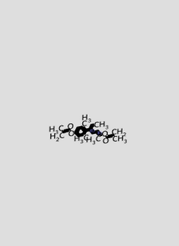 C=C(C)C(=O)OC1=CC(C)=C(/C(=C/C=C(\C)OC(=O)C(=C)C)CC)C(C)C1